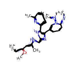 C=NN1C=C(c2nc(CN/C(C)=C/C(=C\C)OC)[nH]c2-c2cccc(C)n2)CC=C/C1=N/C